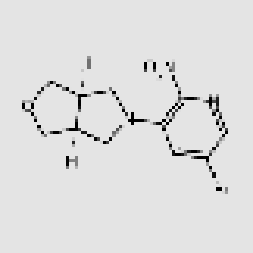 O=[N+]([O-])c1ncc(Br)cc1N1C[C@H]2COC[C@H]2C1